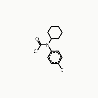 O=C(Cl)N(c1ccc(Cl)cc1)C1CCCCC1